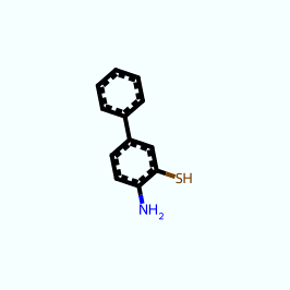 Nc1ccc(-c2ccccc2)cc1S